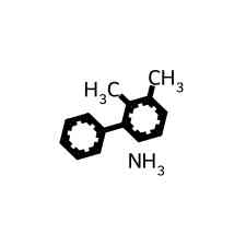 Cc1cccc(-c2ccccc2)c1C.N